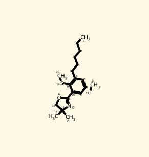 CCCCCCc1cccc(C2=NC(C)(C)CO2)c1SC.CI